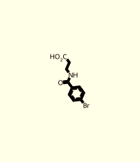 O=C(O)CCNC(=O)c1ccc(Br)cc1